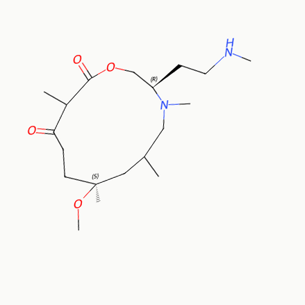 CNCC[C@@H]1COC(=O)C(C)C(=O)CC[C@](C)(OC)CC(C)CN1C